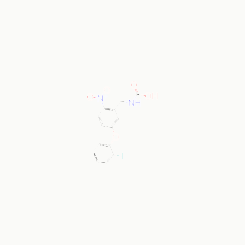 O=C(O)NCc1cc(Oc2ccccc2F)ccc1[N+](=O)[O-]